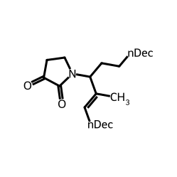 CCCCCCCCCCC=C(C)C(CCCCCCCCCCCC)N1CCC(=O)C1=O